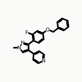 Cn1cc(-c2ccncc2)c(-c2ccc(OCc3ccccc3)cc2F)n1